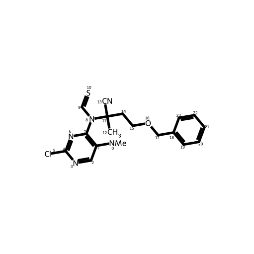 CNc1cnc(Cl)nc1N(C=S)C(C)(C#N)CCOCc1ccccc1